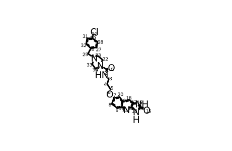 O=C(NCCCOc1ccc2nc3[nH]c(=O)[nH]c3cc2c1)N1CCN(Cc2ccc(Cl)cc2)CC1